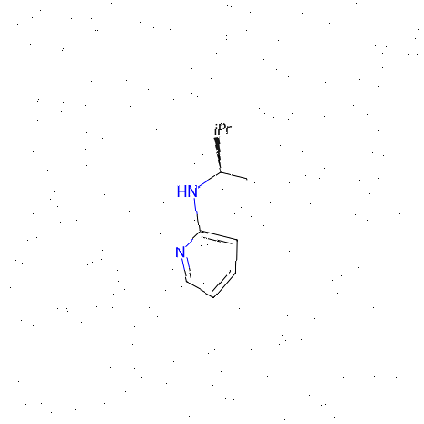 CC(C)[C@@H](C)Nc1ccccn1